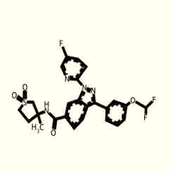 CC1(NC(=O)c2ccc3c(-c4cccc(OC(F)F)c4)nn(-c4ccc(F)cn4)c3c2)CCS(=O)(=O)C1